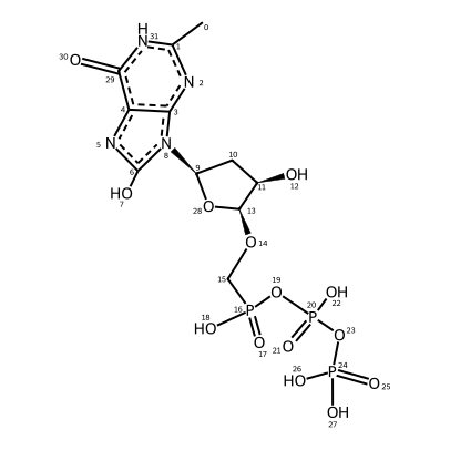 Cc1nc2c(nc(O)n2[C@H]2C[C@@H](O)[C@@H](OCP(=O)(O)OP(=O)(O)OP(=O)(O)O)O2)c(=O)[nH]1